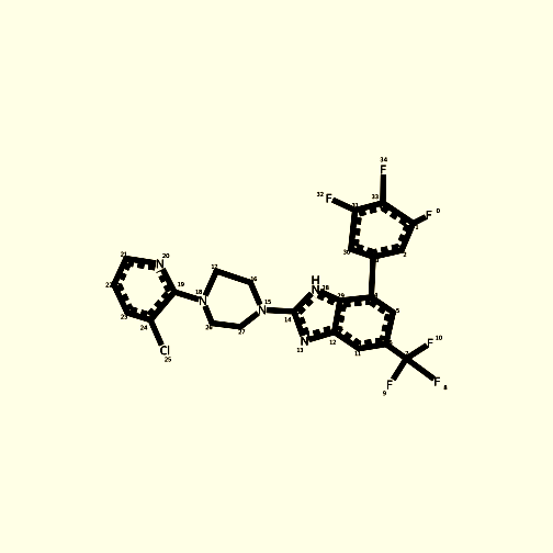 Fc1cc(-c2cc(C(F)(F)F)cc3nc(N4CCN(c5ncccc5Cl)CC4)[nH]c23)cc(F)c1F